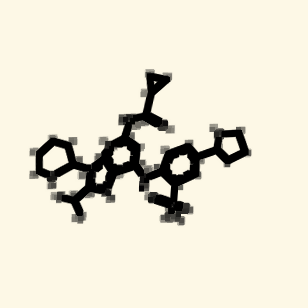 CS(=O)(=O)c1cc(C2CCCO2)ccc1Nc1cc(NC(=O)C2CC2)nc2c1nc(C(F)F)n2C1CCCCO1